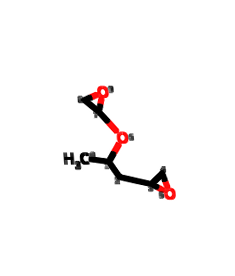 CC(CC1CO1)OC1CO1